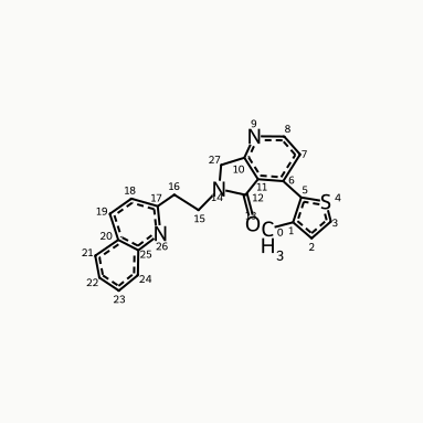 Cc1ccsc1-c1ccnc2c1C(=O)N(CCc1ccc3ccccc3n1)C2